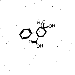 CC1(O)CC[C@@H](C(=O)O)[C@H](c2ccccc2)C1